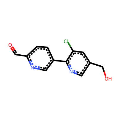 O=Cc1ccc(-c2ncc(CO)cc2Cl)cn1